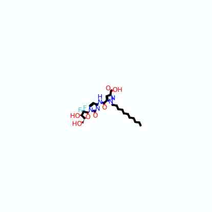 CCCCCCCCCCCn1nc(C(=O)O)cc1C(=O)Nc1ccn([C@@H]2O[C@H](CO)[C@@H](O)C2(F)F)c(=O)n1